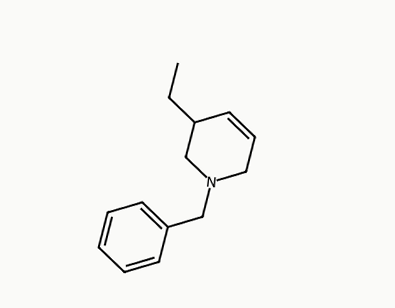 CCC1C=CCN(Cc2ccccc2)C1